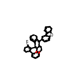 Fc1cccc(-c2ccccc2)c1-c1c2ccccc2c(-c2ccc3oc4ccccc4c3c2)c2ccccc12